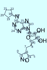 Cc1noc(C)c1CC[C@H]1O[C@@H](n2cnc3c(N=C4CCCC4)ncnc32)[C@H](O)[C@@H]1O